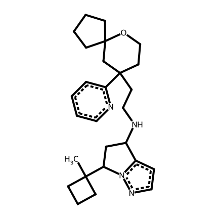 CC1(C2CC(NCCC3(c4ccccn4)CCOC4(CCCC4)C3)c3ccnn32)CCC1